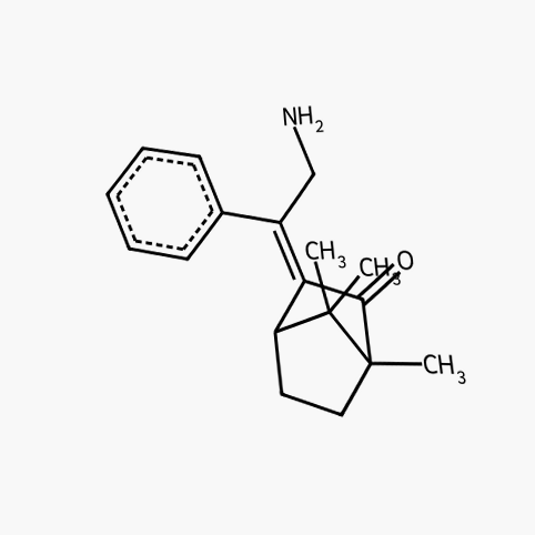 CC12CCC(C(=C(CN)c3ccccc3)C1=O)C2(C)C